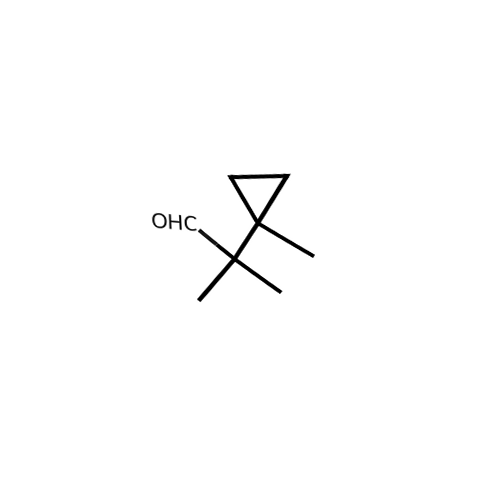 CC(C)(C=O)C1(C)CC1